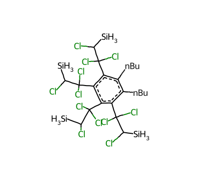 CCCCc1c(CCCC)c(C(Cl)(Cl)C([SiH3])Cl)c(C(Cl)(Cl)C([SiH3])Cl)c(C(Cl)(Cl)C([SiH3])Cl)c1C(Cl)(Cl)C([SiH3])Cl